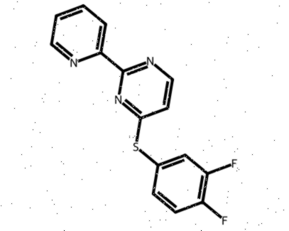 Fc1ccc(Sc2ccnc(-c3ccccn3)n2)cc1F